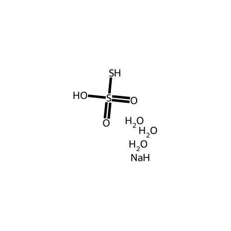 O.O.O.O=S(=O)(O)S.[NaH]